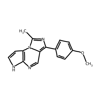 COc1ccc(-c2nc(C)n3c2cnc2[nH]ccc23)cc1